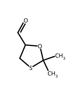 CC1(C)OC(C=O)CS1